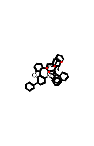 c1ccc(-c2nc(-c3ccccc3)nc(-c3cccc4oc5c(-c6ccccc6)ccc(-n6c7ccc8ccccc8c7c7c8ccccc8ccc76)c5c34)n2)cc1